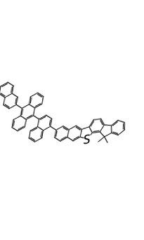 CC1(C)c2ccccc2-c2ccc3c(sc4cc5ccc(-c6ccc(-c7c8ccccc8c(-c8ccc9ccccc9c8)c8ccccc78)c7ccccc67)cc5cc43)c21